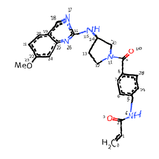 C=CC(=O)Nc1ccc(C(=O)N2CCC(Nc3ncc4ccc(OC)cc4n3)C2)cc1